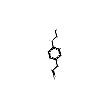 CCOc1ccc(C[C]=O)cc1